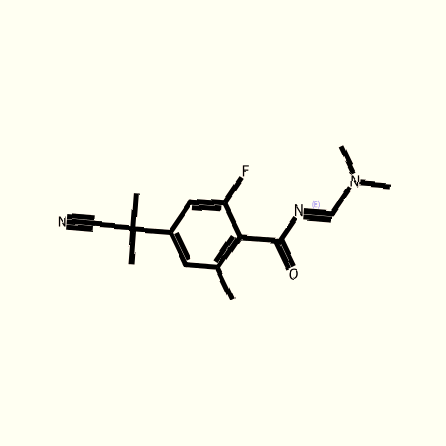 Cc1cc(C(C)(C)C#N)cc(F)c1C(=O)/N=C/N(C)C